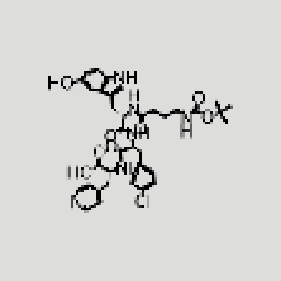 CC(C)(C)OC(=O)NCCCC(=O)N[C@@H](Cc1c[nH]c2ccc(O)cc12)C(=O)N[C@@H](Cc1ccc(Cl)cc1)C(=O)N[C@@H](Cc1ccncc1)C(=O)O